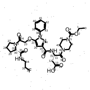 CCOC(=O)N1CCN(C(=O)[C@H](CC(=O)O)NC(=O)c2cc(OCC(=O)N3CCC[C@H]3C(=O)NCCF)n(-c3ccccc3)n2)CC1